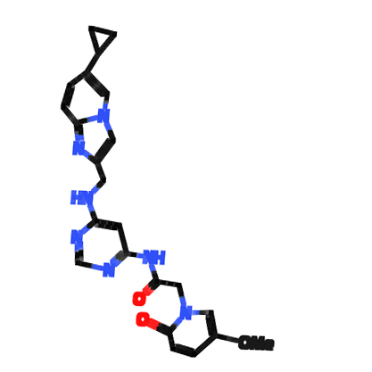 COc1ccc(=O)n(CC(=O)Nc2cc(NCc3cn4cc(C5CC5)ccc4n3)ncn2)c1